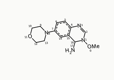 CON1C=Nc2ccc(N3CCOCC3)cc2C1N